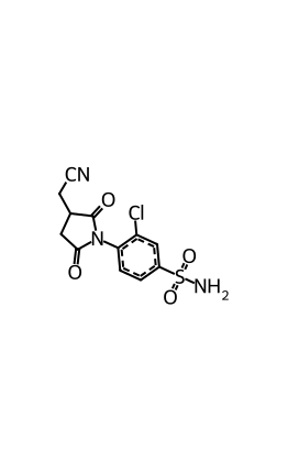 N#CCC1CC(=O)N(c2ccc(S(N)(=O)=O)cc2Cl)C1=O